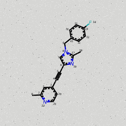 Cc1cc(C#Cc2cn(Cc3ccc(F)cc3)c(C)n2)ccn1